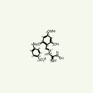 COc1cc(O)c(/C=N/NC(=N)NO)c(OC)c1.Cc1ccc(S(=O)(=O)O)cc1